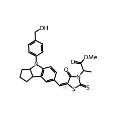 COC(=O)C(C)N1C(=O)/C(=C\c2ccc3c(c2)C2CCCC2N3c2ccc(CO)cc2)SC1=S